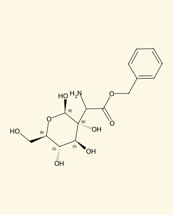 NC(C(=O)OCc1ccccc1)[C@]1(O)[C@H](O)O[C@H](CO)[C@@H](O)[C@@H]1O